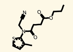 CCCOC(=O)CCC(=O)N(CC#N)c1sccc1C